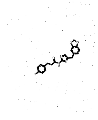 O=C(CCc1ccc(F)cc1)Nc1ncc(Cc2ccc3c(c2)OCO3)s1